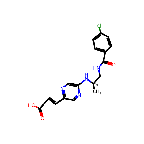 C[C@H](CNC(=O)c1ccc(Cl)cc1)Nc1cnc(C=CC(=O)O)cn1